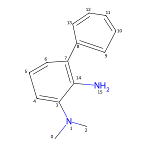 CN(C)c1cccc(-c2ccccc2)c1N